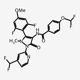 COc1cc(F)c(-c2c(NC(=O)c3ccc(OC(F)F)cc3)c(=O)n(-c3cc(C(F)F)ccn3)n2C)c(F)c1